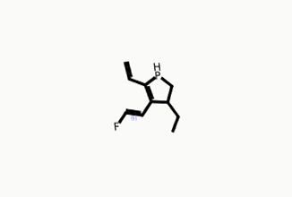 C=CC1=C(/C=C/F)C(CC)CP1